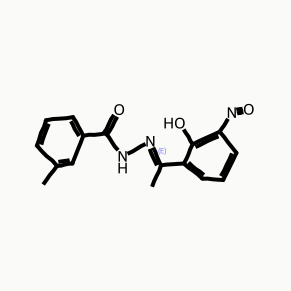 C/C(=N\NC(=O)c1cccc(C)c1)c1cccc(N=O)c1O